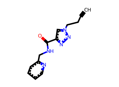 C#CCCn1cc(C(=O)NCc2ccccn2)nn1